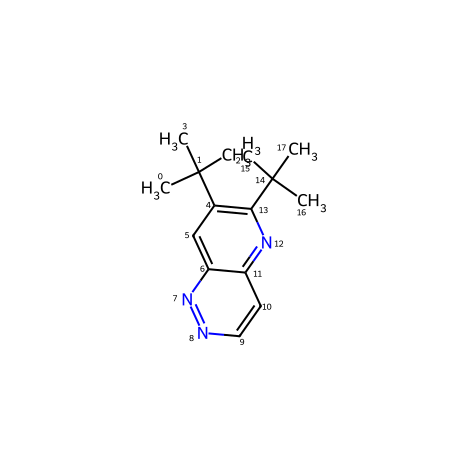 CC(C)(C)c1cc2nnccc2nc1C(C)(C)C